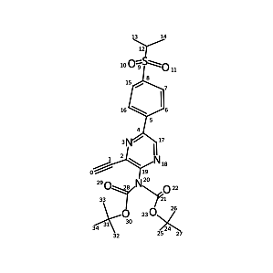 C#Cc1nc(-c2ccc(S(=O)(=O)C(C)C)cc2)cnc1N(C(=O)OC(C)(C)C)C(=O)OC(C)(C)C